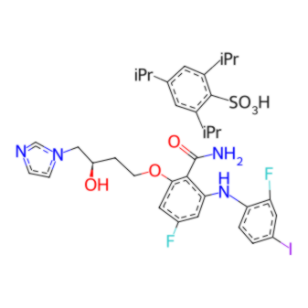 CC(C)c1cc(C(C)C)c(S(=O)(=O)O)c(C(C)C)c1.NC(=O)c1c(Nc2ccc(I)cc2F)cc(F)cc1OCC[C@@H](O)Cn1ccnc1